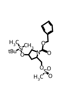 CC(C)(C)[Si](C)(C)OC1CC(COS(C)(=O)=O)N(C(=O)OCc2ccccc2)C1